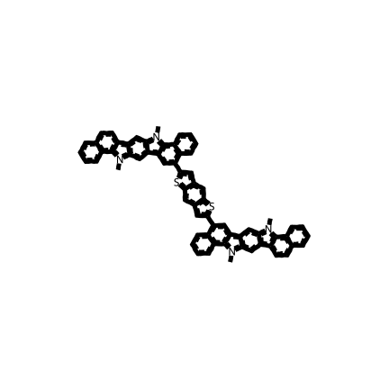 Cn1c2cc3c4cc(-c5cc6cc7sc(-c8cc9c%10cc%11c(cc%10n(C)c9c9ccccc89)c8ccc9ccccc9c8n%11C)cc7cc6s5)c5ccccc5c4n(C)c3cc2c2ccc3ccccc3c21